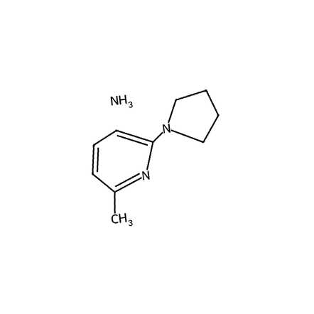 Cc1cccc(N2CCCC2)n1.N